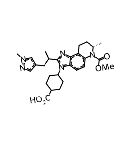 COC(=O)N1c2ccc3c(nc(C(C)Cc4cnn(C)c4)n3C3CCC(C(=O)O)CC3)c2CC[C@@H]1C